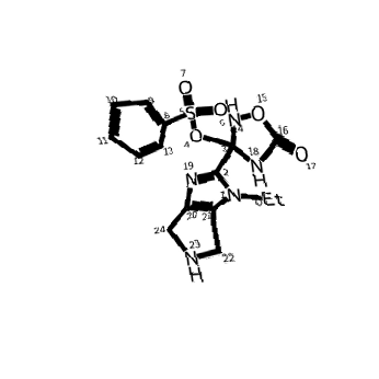 CCn1c(C2(OS(=O)(=O)c3ccccc3)NOC(=O)N2)nc2c1CNC2